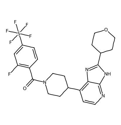 O=C(c1ccc(S(F)(F)(F)(F)F)cc1F)N1CCC(c2ccnc3[nH]c(C4CCOCC4)nc23)CC1